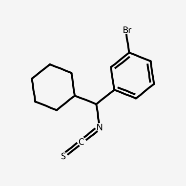 S=C=NC(c1cccc(Br)c1)C1CCCCC1